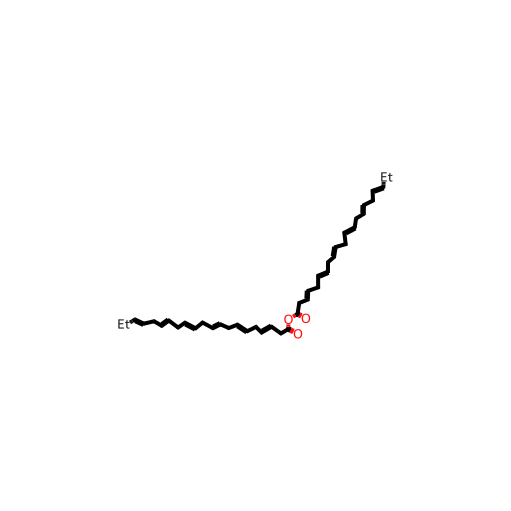 CC/C=C/C/C=C/C/C=C/C/C=C/C/C=C/C/C=C/CC(=O)OC(=O)C/C=C/C/C=C/C/C=C/C/C=C/C/C=C/C/C=C/CC